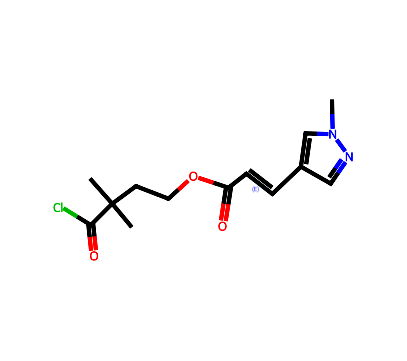 Cn1cc(/C=C/C(=O)OCCC(C)(C)C(=O)Cl)cn1